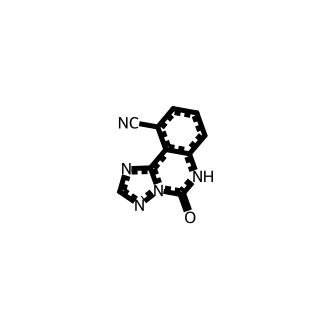 N#Cc1cccc2[nH]c(=O)n3ncnc3c12